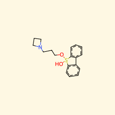 OS1(OCCCN2CCC2)c2ccccc2-c2ccccc21